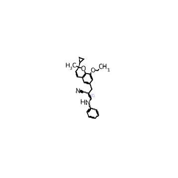 CCOc1cc(C/C(C#N)=C/Nc2ccccc2)cc2c1OC(C)(C1CC1)C=C2